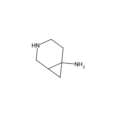 NC12CCNCC1C2